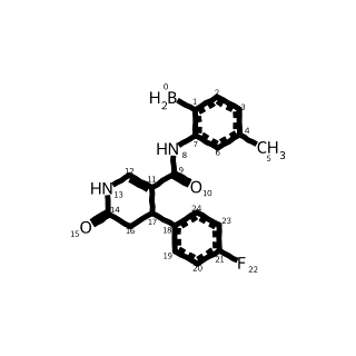 Bc1ccc(C)cc1NC(=O)C1=CNC(=O)CC1c1ccc(F)cc1